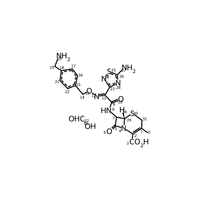 CC1=C(C(=O)O)N2C(=O)C(NC(=O)C(=NOCc3ccc(CN)cc3)c3nsc(N)n3)[C@@H]2SC1.O=CO